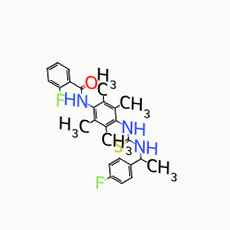 Cc1c(C)c(NC(=S)NC(C)c2ccc(F)cc2)c(C)c(C)c1NC(=O)c1ccccc1F